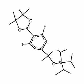 CC(C)[Si](OC(C)(C)c1cc(F)c(B2OC(C)(C)C(C)(C)O2)c(F)c1)(C(C)C)C(C)C